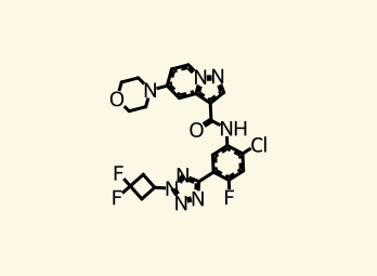 O=C(Nc1cc(-c2nnn(C3CC(F)(F)C3)n2)c(F)cc1Cl)c1cnn2ccc(N3CCOCC3)cc12